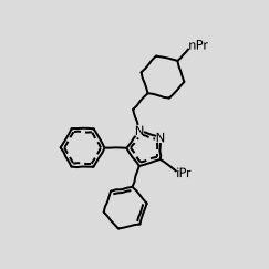 CCCC1CCC(Cn2nc(C(C)C)c(C3=CCCC=C3)c2-c2ccccc2)CC1